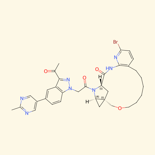 CC(=O)c1nn(CC(=O)N2[C@H]3C[C@@]4(COCCCCCCc5ccc(Br)nc5NC3=O)C[C@@H]24)c2ccc(-c3cnc(C)nc3)cc12